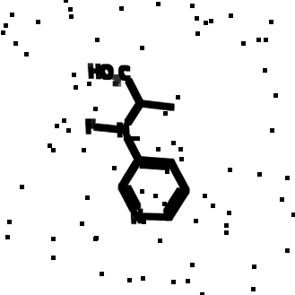 CC(C(=O)O)N(F)c1cccnc1